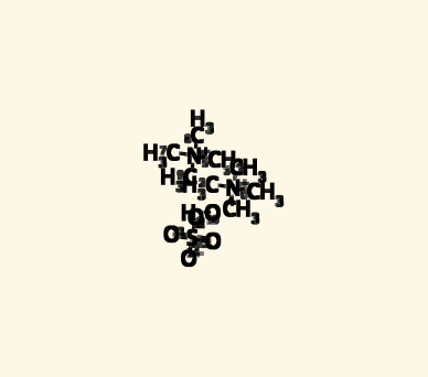 C[N+](C)(C)C.C[N+](C)(C)C.O.O=S(=O)([O-])[O-]